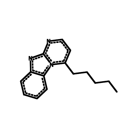 CCCCCc1ccnc2nc3ccccc3n12